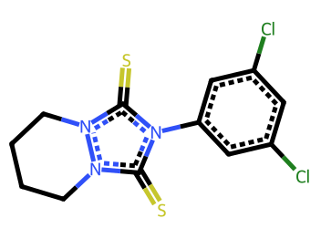 S=c1n(-c2cc(Cl)cc(Cl)c2)c(=S)n2n1CCCC2